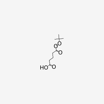 CC(C)(C)OOC(=O)CCCC(=O)O